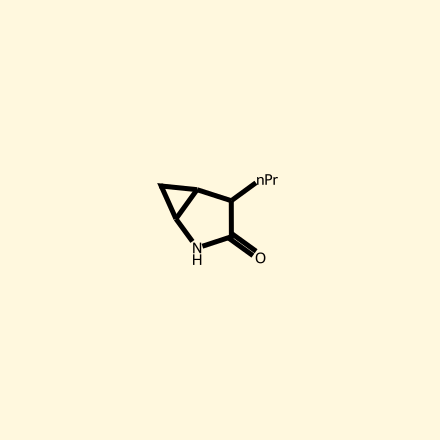 CCCC1C(=O)NC2CC21